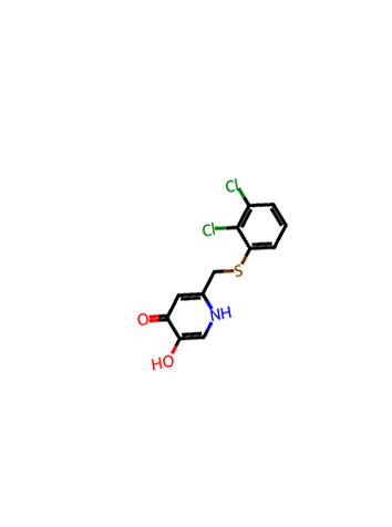 O=c1cc(CSc2cccc(Cl)c2Cl)[nH]cc1O